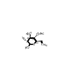 CC(=O)OC[C@H]1SC(O)[C@H](O)[C@@H](OC(C)=O)[C@@H]1OC(C)=O